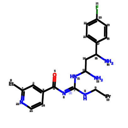 CCc1cc(C(=O)/N=C(/NCC(C)C)NC(N)CC(N)c2ccc(F)cc2)ccn1